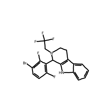 Fc1ccc(Br)c(F)c1C1c2[nH]c3ccccc3c2CCN1CC(F)(F)F